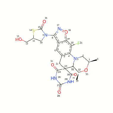 C[C@@H]1CN2c3c(cc4c(N5CC(CO)SC5=O)noc4c3F)CC3(C(=O)NC(=O)NC3=O)C2[C@H](C)O1